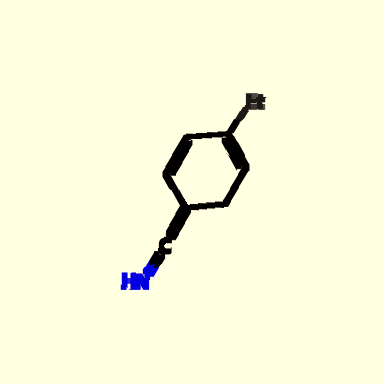 CCC1=CCC(=C=N)C=C1